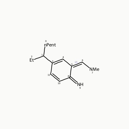 CCCCCC(CC)C1=C/C(=C/NC)C(=N)C=C1